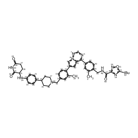 Cc1cc(-c2ncnn3cc(-c4ccc(CN5CCC(c6ccc(NC7CCC(=O)NC7=O)cc6)CC5)cc4C)cc23)ccc1CNC(=O)c1noc(C(C)(C)C)n1